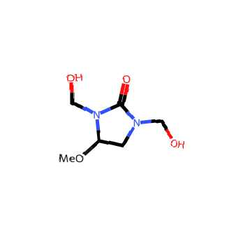 COC1CN(CO)C(=O)N1CO